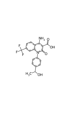 CC(O)c1ccc(-n2c(=O)c(C(=O)O)c(N)c3ccc(C(F)(F)F)cc32)cc1